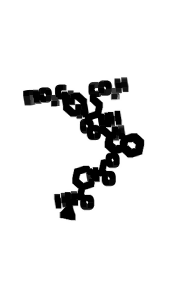 CCOC(=O)N1CCN(C(=O)C(CCC(=O)O)NC(=O)c2cc(OCC(=O)N3CCCC(C(=O)NC4CC4)C3)c3ccccc3n2)CC1